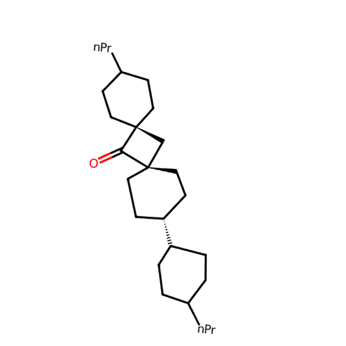 CCCC1CCC([C@H]2CC[C@]3(CC2)C[C@@]2(CCC(CCC)CC2)C3=O)CC1